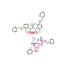 CC(C)C[C@H](NC(=O)OCc1ccccc1)C(=O)N[C@@H](Cc1ccccc1)C(=O)O.O=C(O)C(C(=O)C(C(=O)O)c1c(Cl)ccc(OCc2ccccc2)c1Cl)c1c(Cl)ccc(OCc2ccccc2)c1Cl